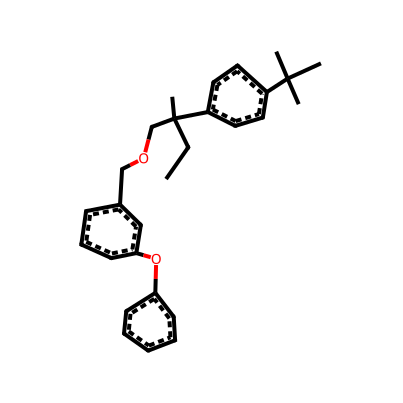 CCC(C)(COCc1cccc(Oc2ccccc2)c1)c1ccc(C(C)(C)C)cc1